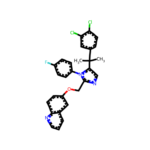 CC(C)(c1ccc(Cl)c(Cl)c1)c1cnc(COc2ccc3ncccc3c2)n1-c1ccc(F)cc1